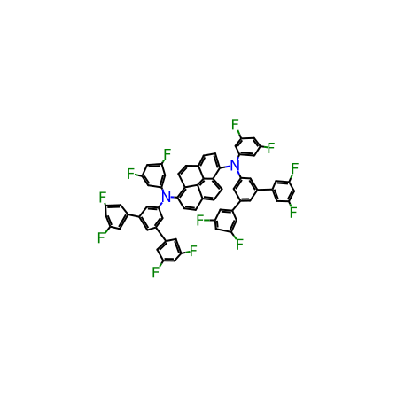 Fc1cc(F)cc(-c2cc(-c3cc(F)cc(F)c3)cc(N(c3cc(F)cc(F)c3)c3ccc4ccc5c(N(c6cc(F)cc(F)c6)c6cc(-c7cc(F)cc(F)c7)cc(-c7cc(F)cc(F)c7)c6)ccc6ccc3c4c65)c2)c1